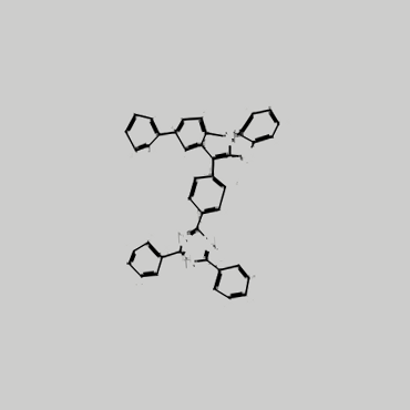 c1ccc(-c2ccc3c(c2)c(-c2ccc(-c4nc(-c5ccccc5)nc(-c5ccccc5)n4)cc2)c2oc4ccccc4n23)cc1